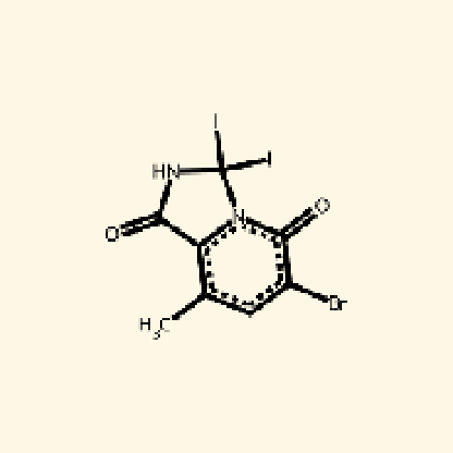 Cc1cc(Br)c(=O)n2c1C(=O)NC2(I)I